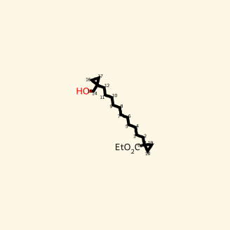 CCOC(=O)C1(CCCCCCCCCCCC2(CO)CC2)CC1